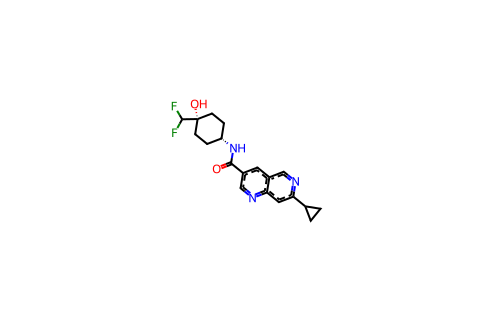 O=C(N[C@H]1CC[C@](O)(C(F)F)CC1)c1cnc2cc(C3CC3)ncc2c1